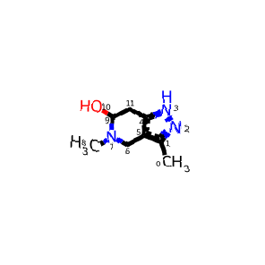 Cc1n[nH]c2c1CN(C)C(O)C2